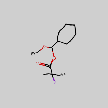 CCOC(OC(=O)C(C)(I)CC)C1CCCCC1